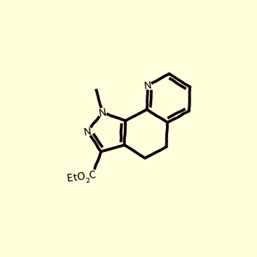 CCOC(=O)c1nn(C)c2c1CCc1cccnc1-2